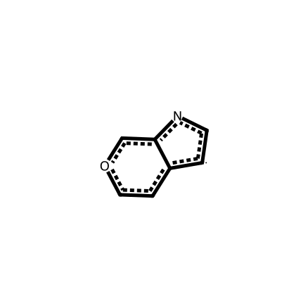 [c]1cnc2coccc1-2